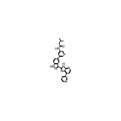 CC(C)CC(=O)Nc1cncc(-c2ccc3[nH]nc(-c4nc5c(-c6cccnc6)ccnc5[nH]4)c3c2)c1